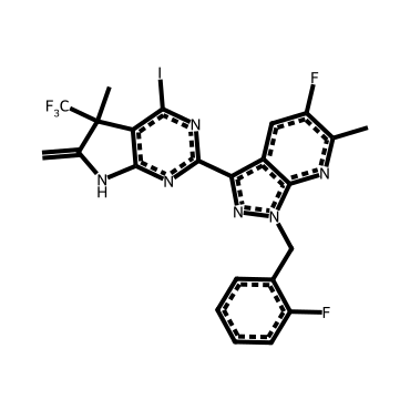 C=C1Nc2nc(-c3nn(Cc4ccccc4F)c4nc(C)c(F)cc34)nc(I)c2C1(C)C(F)(F)F